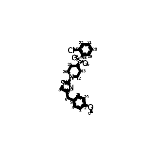 COc1ccc(Cc2csc(N3CCC(S(=O)(=O)c4ccccc4Cl)CC3)n2)cc1